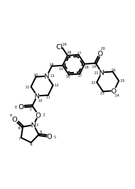 O=C(ON1C(=O)CCC1=O)N1CCN(Cc2ccc(C(=O)N3CCOCC3)cc2Cl)CC1